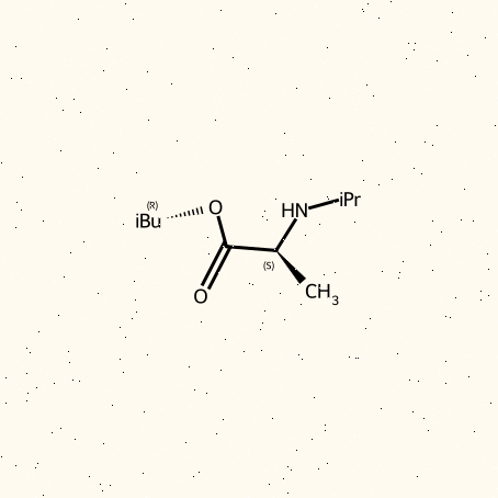 CC[C@@H](C)OC(=O)[C@H](C)NC(C)C